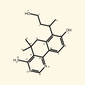 CC(CCO)c1c(O)ccc2c1CC(C)(C)c1c(N)ncnc1-2